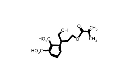 C=C(C)C(=O)OCCC(CO)c1cccc(C(=O)O)c1C(=O)O